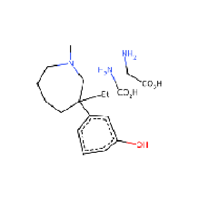 CCC1(c2cccc(O)c2)CCCCN(C)C1.NC(=O)O.NCC(=O)O